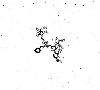 CC(C)C(N)C(=O)O[C@@H]1C(COP(=O)(NCc2ccccc2)OCCSC(=O)C(C)(C)CO)OC(n2ccc(N)nc2=O)[C@]1(C)O